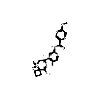 COc1cnc(C(=O)Nc2cc([C@]3(C)CS(=O)(=O)C4(CCC4)C(N)=N3)c(F)cn2)cn1